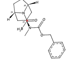 BC(=O)N1[C@@H]2CC[C@H]1C[C@H](N(C)C(=O)OCc1ccccc1)C2